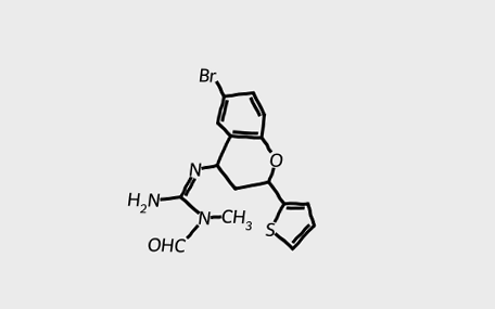 CN(C=O)/C(N)=N\C1CC(c2cccs2)Oc2ccc(Br)cc21